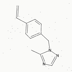 C=Cc1ccc(Cn2ncnc2C)cc1